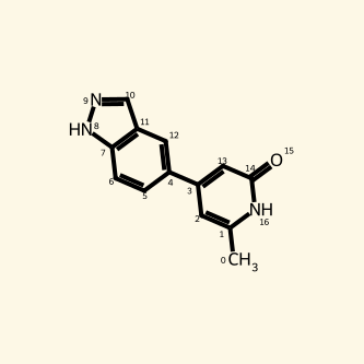 Cc1cc(-c2ccc3[nH]ncc3c2)cc(=O)[nH]1